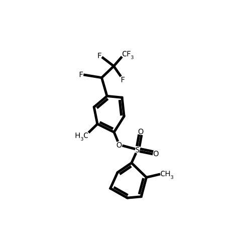 Cc1cc(C(F)C(F)(F)C(F)(F)F)ccc1OS(=O)(=O)c1ccccc1C